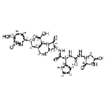 O=C1CN(NC(=O)NC(C(=O)N[C@H]2C(=O)N3C(C(=O)O)=C(CSc4ccc(O)[n+]([O-])n4)CSC23)c2cccs2)C(=O)N1